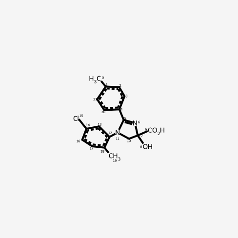 Cc1ccc(C2=NC(O)(C(=O)O)CN2c2cc(Cl)ccc2C)cc1